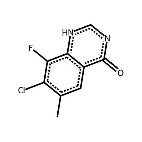 Cc1cc2c(=O)nc[nH]c2c(F)c1Cl